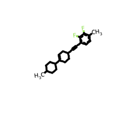 Cc1ccc(C#CC2CC=C(C3CCC(C)CC3)CC2)c(F)c1F